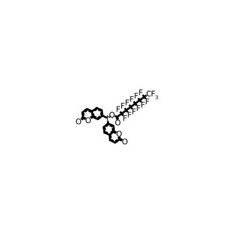 O=C(O[I+](c1ccc2ccc(=O)oc2c1)c1ccc2ccc(=O)oc2c1)C(F)(F)C(F)(F)C(F)(F)C(F)(F)C(F)(F)C(F)(F)C(F)(F)F